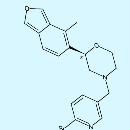 Cc1c([C@@H]2CN(Cc3ccc(Br)nc3)CCO2)ccc2cocc12